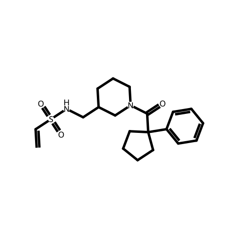 C=CS(=O)(=O)NCC1CCCN(C(=O)C2(c3ccccc3)CCCC2)C1